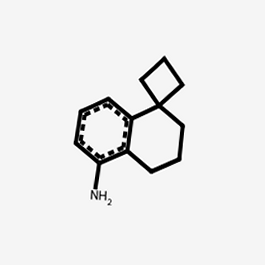 Nc1cccc2c1CCCC21CCC1